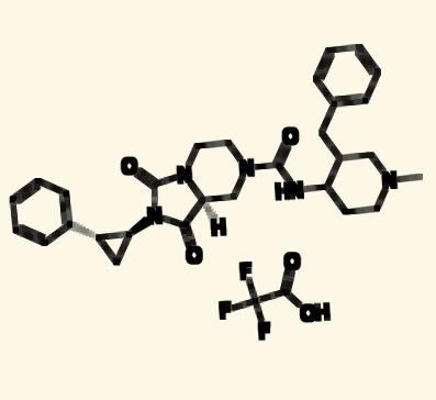 CN1CCC(NC(=O)N2CCN3C(=O)N([C@H]4C[C@@H]4c4ccccc4)C(=O)[C@@H]3C2)C(Cc2ccccc2)C1.O=C(O)C(F)(F)F